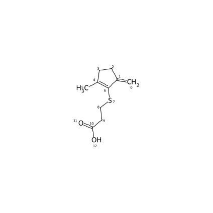 C=C1CCC(C)=C1SCCC(=O)O